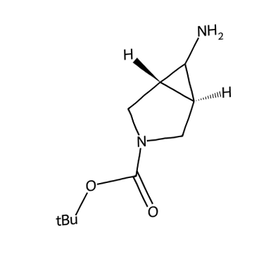 CC(C)(C)OC(=O)N1C[C@@H]2C(N)[C@H]2C1